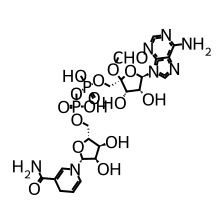 NC(=O)C1=CN([C@@H]2O[C@H](COP(=O)(O)OP(=O)(O)OC[C@]3(OC=O)O[C@@H](n4cnc5c(N)ncnc54)[C@H](O)[C@@H]3O)[C@@H](O)[C@H]2O)C=CC1